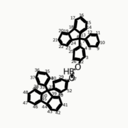 B(Oc1ccc(C2(c3ccccc3)c3ccccc3-c3ccccc32)cc1)Oc1ccc(C2(c3ccccc3)c3ccccc3-c3ccccc32)cc1